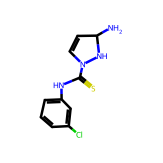 NC1C=CN(C(=S)Nc2cccc(Cl)c2)N1